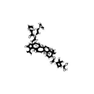 CC(C)C1=C2[C@H]3CC[C@@H]4[C@@]5(C)CC[C@H](OC(=O)[C@H]6C[C@@H](C(=O)O)C6(C)C)C(C)(C)[C@@H]5CC[C@@]4(C)[C@]3(C)CC[C@@]2(CCN(CCN(C)C)C(=O)c2nccs2)CC1=O